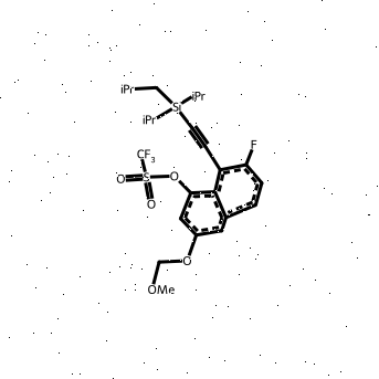 COCOc1cc(OS(=O)(=O)C(F)(F)F)c2c(C#C[Si](CC(C)C)(C(C)C)C(C)C)c(F)ccc2c1